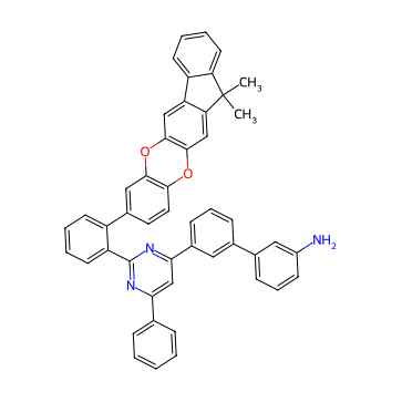 CC1(C)c2ccccc2-c2cc3c(cc21)Oc1ccc(-c2ccccc2-c2nc(-c4ccccc4)cc(-c4cccc(-c5cccc(N)c5)c4)n2)cc1O3